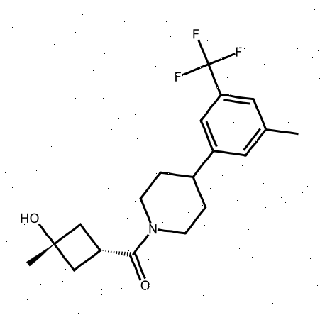 Cc1cc(C2CCN(C(=O)[C@H]3C[C@@](C)(O)C3)CC2)cc(C(F)(F)F)c1